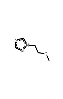 COCCn1cn[c]n1